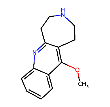 COc1c2c(nc3ccccc13)CCNCC2